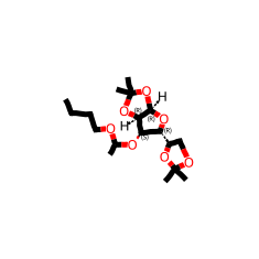 CCCCOC(C)O[C@@H]1[C@H]2OC(C)(C)O[C@H]2O[C@@H]1C1COC(C)(C)O1